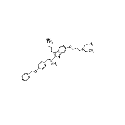 CCCCn1c([C@H](N)Cc2ccc(OCc3ccccc3)cc2)nc2cc(OCCCN(CC)CC)ccc21.N